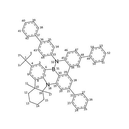 CC(C)(C)c1cc2c3c(c1)C1(C)CCCCC1(C)N3c1cc(-c3ccccc3)cc3c1B2N(c1ccc(-c2ccccc2)cc1)c1ccc(-c2ccccc2)cc1-3